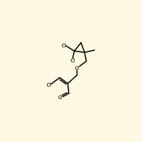 CC1(COCC([C]=O)=CCl)CC1(Cl)Cl